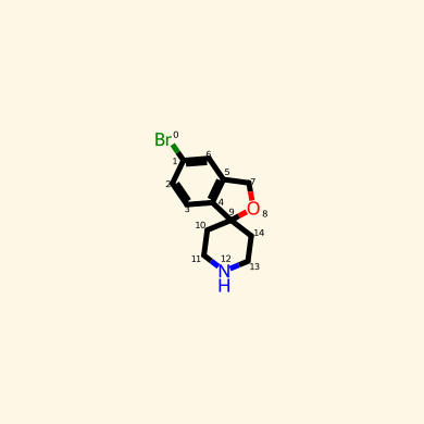 Brc1ccc2c(c1)COC21CCNCC1